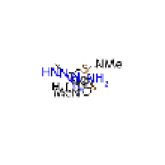 CCCC(/C(NC)=C1/CCCc2sc(N)c(C#N)c21)=C(/C)c1nc(CCSCCCNC)cc(N2CCNC3(CC3)C2)n1